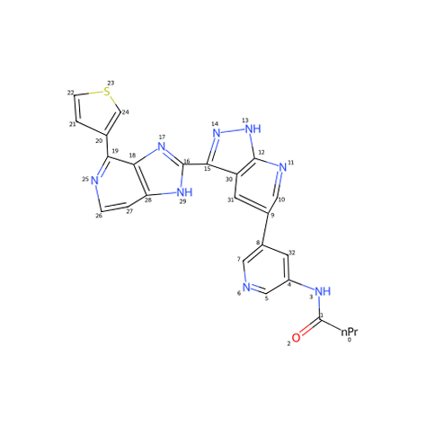 CCCC(=O)Nc1cncc(-c2cnc3[nH]nc(-c4nc5c(-c6ccsc6)nccc5[nH]4)c3c2)c1